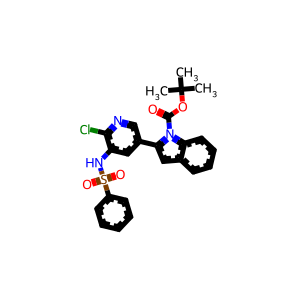 CC(C)(C)OC(=O)n1c(-c2cnc(Cl)c(NS(=O)(=O)c3ccccc3)c2)cc2ccccc21